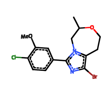 COc1cc(-c2nc(Br)c3n2CC(C)OCC3)ccc1Cl